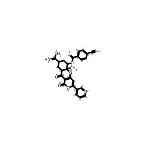 C=C(C)C1CC(OC(=O)c2ccc(C#N)cc2)C2(C)Oc3cc(-c4cccnc4)oc(=O)c3C(=O)C2C1